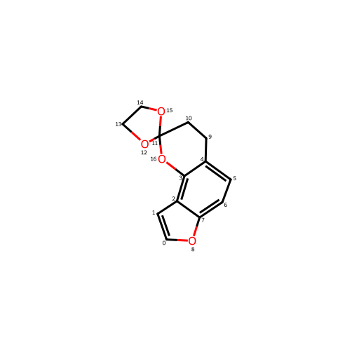 c1cc2c3c(ccc2o1)CCC1(OCCO1)O3